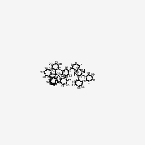 c1ccc(-c2nc3cccc(-c4ccc5c(c4)-c4ccccc4C(c4ccccc4)(c4ccccc4)C5(c4ccccc4)c4ccccc4)c3nc2-c2ccccc2)cc1